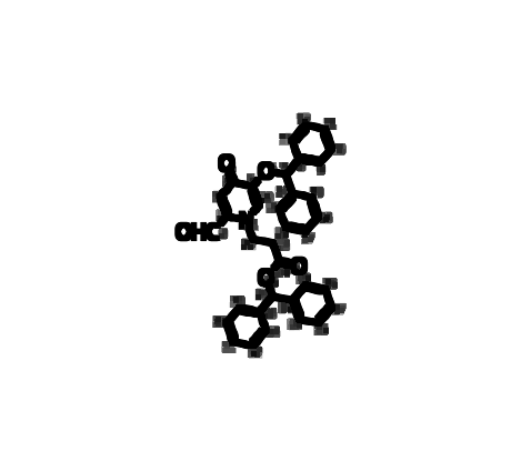 O=Cc1cc(=O)c(OC(c2ccccc2)c2ccccc2)cn1CCC(=O)OC(c1ccccc1)c1ccccc1